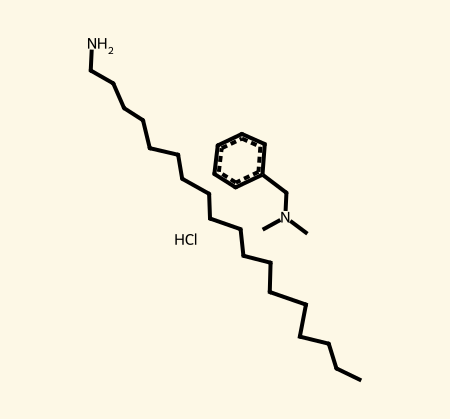 CCCCCCCCCCCCCCCCCCN.CN(C)Cc1ccccc1.Cl